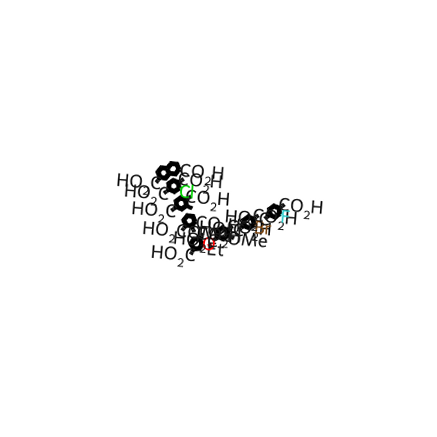 CCOc1cc(C(=O)O)ccc1C(=O)O.COc1c(C(=O)O)cccc1C(=O)O.COc1cc(C(=O)O)ccc1C(=O)O.Cc1cc(C(=O)O)ccc1C(=O)O.O=C(O)c1ccc(C(=O)O)c(Br)c1.O=C(O)c1ccc(C(=O)O)c(Cl)c1.O=C(O)c1ccc(C(=O)O)c(F)c1.O=C(O)c1ccc2ccc(C(=O)O)cc2c1